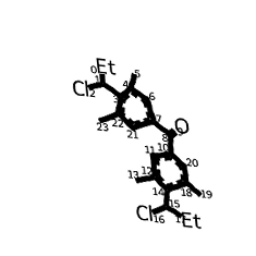 CCC(Cl)c1c(C)cc(C(=O)c2cc(C)c(C(Cl)CC)c(C)c2)cc1C